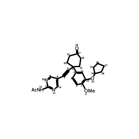 COc1ccc(C2(C#Cc3cnc(NC(C)=O)nc3)CCC(=O)CC2)cc1OC1CCCC1